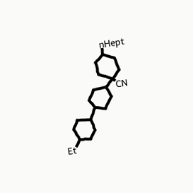 CCCCCCCC1CCC(C#N)(C2CCC(C3CCC(CC)CC3)CC2)CC1